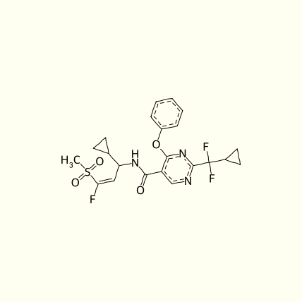 CS(=O)(=O)/C(F)=C\C(NC(=O)c1cnc(C(F)(F)C2CC2)nc1Oc1ccccc1)C1CC1